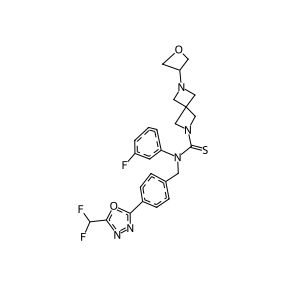 Fc1cccc(N(Cc2ccc(-c3nnc(C(F)F)o3)cc2)C(=S)N2CC3(C2)CN(C2COC2)C3)c1